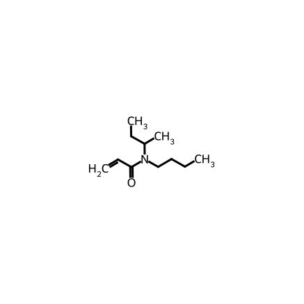 C=CC(=O)N(CCCC)C(C)CC